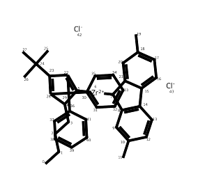 CCCCC1[C]([Zr+2][CH]2c3cc(C)ccc3-c3ccc(C)cc32)=C2C(C(C)(C)C)=C1C2(c1ccccc1)c1ccccc1.[Cl-].[Cl-]